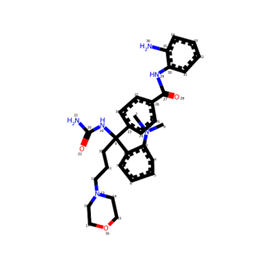 CN(C)c1ccccc1C(CCCN1CCOCC1)(NC(N)=O)c1ccc(C(=O)Nc2ccccc2N)cc1